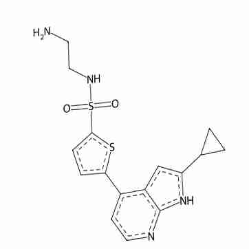 NCCNS(=O)(=O)c1ccc(-c2ccnc3[nH]c(C4CC4)cc23)s1